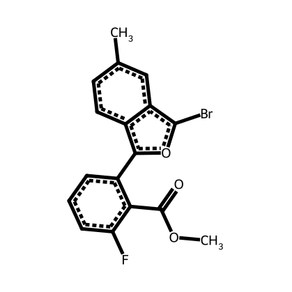 COC(=O)c1c(F)cccc1-c1oc(Br)c2cc(C)ccc12